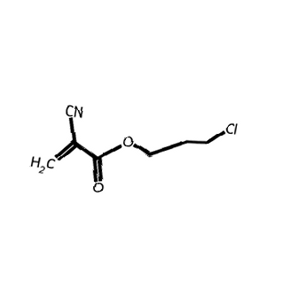 C=C(C#N)C(=O)OCCCCl